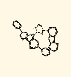 C1=CC(c2cccc3c2sc2ccccc23)=NC(n2c3cc(-c4ccccc4)ccc3c3ccc(-c4ccccc4)cc32)N1